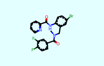 CN(Cc1cc(Br)ccc1NC(=O)c1ccccn1)C(=O)c1ccc(F)c(F)c1